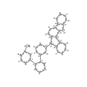 N#Cc1cc(-c2ccccc2-c2cccc(-n3c4ccccc4c4c5oc6ccccc6c5ccc43)c2)ccn1